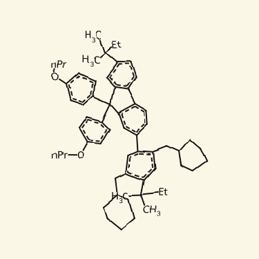 CCCOc1ccc(C2(c3ccc(OCCC)cc3)c3cc(-c4cc(CC5CCCCC5)c(C(C)(C)CC)cc4CC4CCCCC4)ccc3-c3ccc(C(C)(C)CC)cc32)cc1